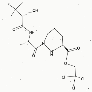 C[C@H](NC(=O)[C@@H](O)C(C)(C)F)C(=O)N1CCC[C@@H](C(=O)OCC(Cl)(Cl)Cl)N1